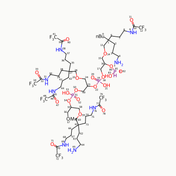 CCCCC(CCCN)(CCCNC(=O)C(F)(F)F)COCC(COP(=O)(O)OC(COCC(CCCNC(=O)C(F)(F)F)(CCCNC(=O)C(F)(F)F)CCCNC(=O)C(F)(F)F)COP(=O)(O)OC(COC)COCC(CCCN)(CCCNC(=O)C(F)(F)F)CCCNC(=O)C(F)(F)F)O[PH](=O)O